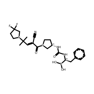 CC(C)(C=C(C#N)C(=O)N1CC[C@H](NC(=O)N[C@@H](Cc2ccccc2)B(O)O)C1)N1CCC(F)(F)C1